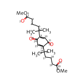 COC(=O)CCCC(C)(C)C1=CC(=O)C(C(C)(C)CCCC(=O)OC)=CC1=O